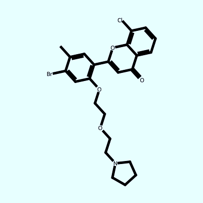 Cc1cc(-c2cc(=O)c3cccc(Cl)c3o2)c(OCCOCCN2CCCC2)cc1Br